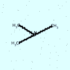 CCCCCCCCCCCCCCC(N)CN(CCCCCCCCCCCCCC)CCCCCCCCCCCCCC